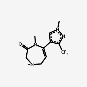 CN1C(=O)CNCC=C1c1cn(C)nc1C(F)(F)F